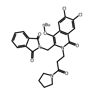 CCCCOc1c(CN2C(=O)c3ccccc3C2=O)n(CCC(=O)N2CCCC2)c(=O)c2cc(Cl)c(Cl)cc12